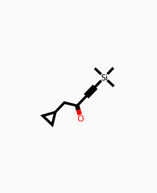 C[Si](C)(C)C#CC(=O)CC1CC1